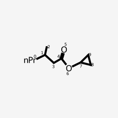 CCCC(C)CC(=O)OC1CC1